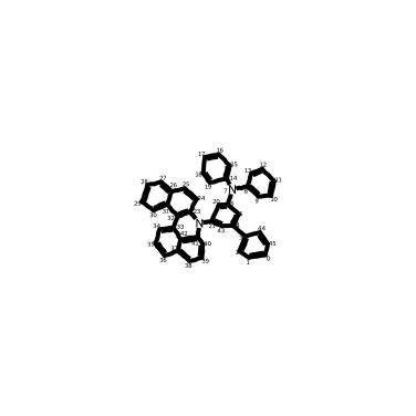 c1ccc(-c2cc(N(c3ccccc3)c3ccccc3)cc(N3c4ccc5ccccc5c4-c4cccc5cccc3c45)c2)cc1